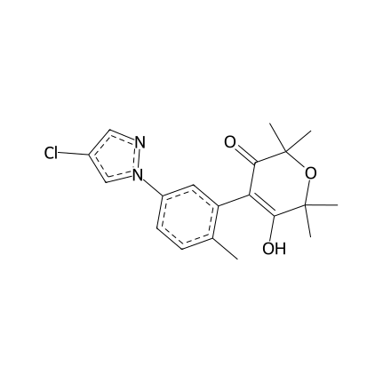 Cc1ccc(-n2cc(Cl)cn2)cc1C1=C(O)C(C)(C)OC(C)(C)C1=O